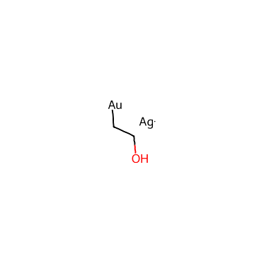 OC[CH2][Au].[Ag]